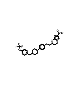 O=[N+]([O-])c1cn2c(n1)OC(COc1ccc(N3CCC(Cc4ccc(OC(F)(F)F)cc4)CC3)cc1)CC2